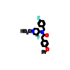 CC(C)Oc1ccc(CC(=O)N(Cc2ccc(F)cc2)[C@H]2CCN(C(=O)O)C[C@H]2F)cc1